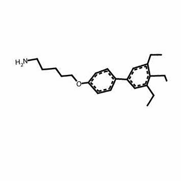 CCc1cc(-c2ccc(OCCCCCN)cc2)cc(CC)c1CC